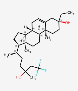 CC[C@]1(O)CC[C@@]2(C)C(=CC[C@H]3[C@@H]4CC[C@H]([C@H](C)CCC(C)(O)CC(F)(F)F)[C@@]4(C)CC[C@@H]32)C1